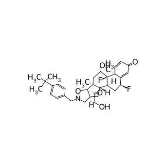 CC(C)(C)c1ccc(CN2C[C@@H]3C[C@H]4[C@@H]5C[C@H](F)C6=CC(=O)C=C[C@]6(C)[C@@]5(F)[C@@H](O)C[C@]4(C)[C@]3(C(=O)CO)O2)cc1